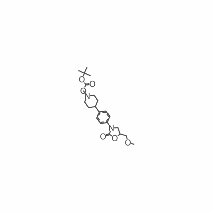 COCC1CN(c2ccc(C3CCN(OC(=O)OC(C)(C)C)CC3)cc2)C(=O)O1